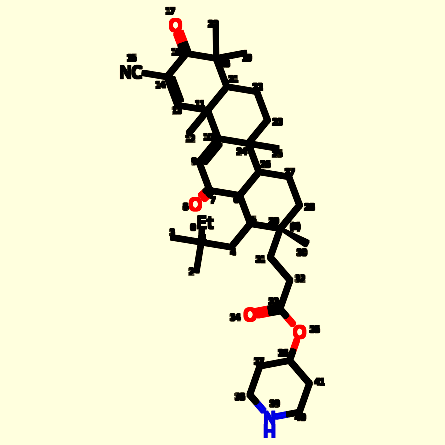 CCC(C)(C)CC1C2C(=O)C=C3C4(C)C=C(C#N)C(=O)C(C)(C)C4CCC3(C)C2CC[C@]1(C)CCC(=O)OC1CCNCC1